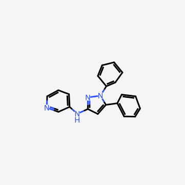 c1ccc(-c2cc(Nc3cccnc3)nn2-c2ccccc2)cc1